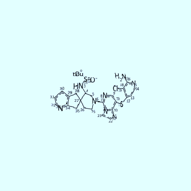 CC(C)(C)[S@@+]([O-])NC1CN(c2ncc(Sc3ccnc(N)c3Cl)c3nccn23)CCC12Cc1cccnc1C2